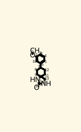 COc1cccc(C2CCC3(CC2)CNC(=O)N3)c1